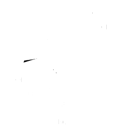 CC(C)(C)OC(=O)N[C@@H](CO)c1cccc(OC(F)(F)F)c1